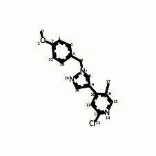 COc1ccc(Cn2cc(-c3cc(Cl)ncc3C)cn2)cc1